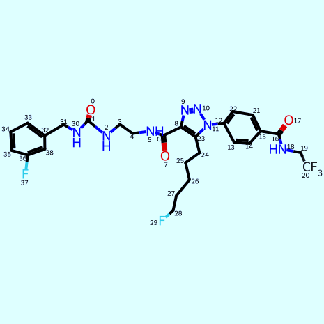 O=C(NCCNC(=O)c1nnn(-c2ccc(C(=O)NCC(F)(F)F)cc2)c1CCCCCF)NCc1cccc(F)c1